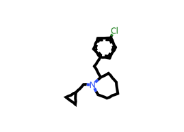 Clc1ccc(CC2CCCCCN2CC2CC2)cc1